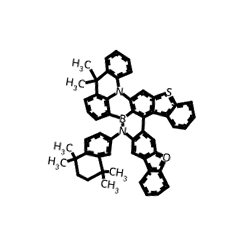 CC1(C)CCC(C)(C)c2cc(N3B4c5cccc6c5N(c5ccccc5C6(C)C)c5cc6sc7ccccc7c6c(c54)-c4cc5oc6ccccc6c5cc43)ccc21